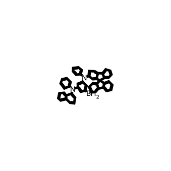 Bc1cc(N(c2ccccc2)c2ccc3c(c2)C2(c4ccccc4-c4ccccc42)c2ccccc2-3)cc(N(c2ccccc2)c2cccc3ccccc23)c1